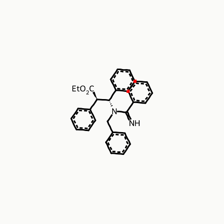 CCOC(=O)[C@H](c1ccccc1)[C@H](c1ccccc1)N(Cc1ccccc1)C(=N)c1ccccc1